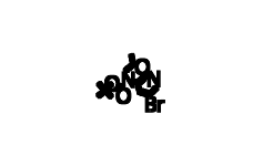 CC1CN(C(=O)OC(C)(C)C)c2cc(Br)cnc2O1